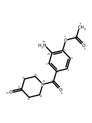 CC(=O)Oc1ccc(C(=O)N2CCC(=O)CC2)cc1N